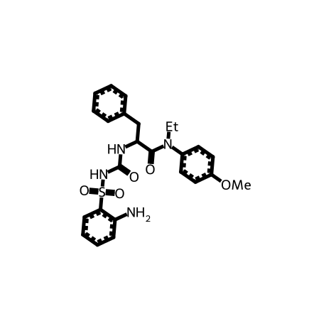 CCN(C(=O)C(Cc1ccccc1)NC(=O)NS(=O)(=O)c1ccccc1N)c1ccc(OC)cc1